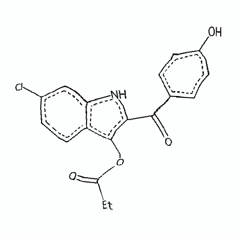 CCC(=O)Oc1c(C(=O)c2ccc(O)cc2)[nH]c2cc(Cl)ccc12